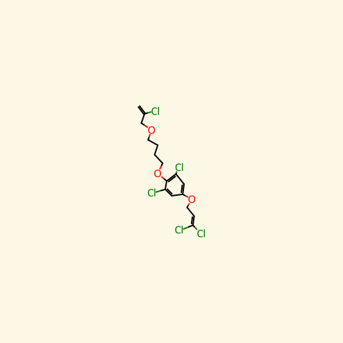 C=C(Cl)COCCCCOc1c(Cl)cc(OCC=C(Cl)Cl)cc1Cl